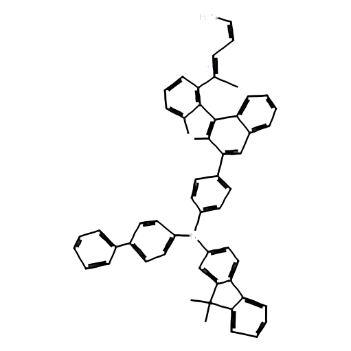 C/C(=C\C=C/N)c1cccc2oc3c(-c4ccc(N(c5ccc(-c6ccccc6)cc5)c5ccc6c(c5)C(C)(C)c5ccccc5-6)cc4)cc4ccccc4c3c12